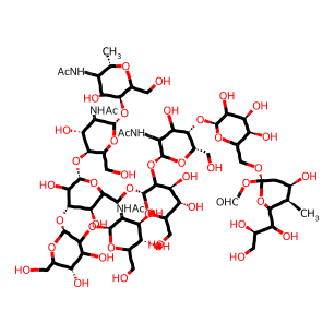 CC(=O)NC1C(O)[C@H](O[C@@H]2OC(CO[C@]3(OC=O)C[C@@H](O)[C@@H](C)C(C(O)[C@H](O)CO)O3)[C@H](O)[C@H](O)C2O)[C@H](CO)O[C@H]1OC1[C@@H](OCC2O[C@@H](O[C@@H]3C(CO)O[C@@H](O[C@@H]4C(CO)O[C@@H](C)C(NC(C)=O)[C@H]4O)C(NC(C)=O)[C@H]3O)C(O)[C@@H](O[C@H]3OC(CO)[C@@H](O)C(O)C3O[C@@H]3OC(CO)[C@@H](O)[C@H](O)C3NC(C)=O)[C@@H]2O)OC(CO)[C@@H](O)[C@@H]1O